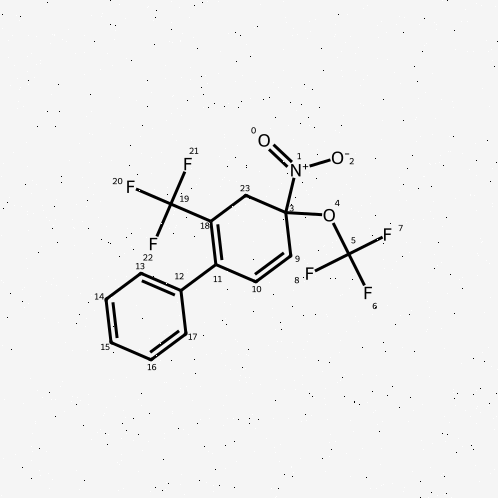 O=[N+]([O-])C1(OC(F)(F)F)C=CC(c2ccccc2)=C(C(F)(F)F)C1